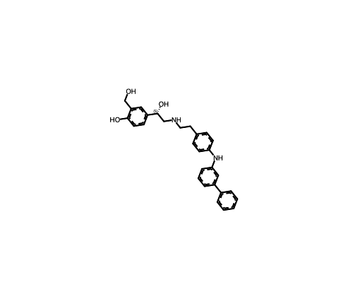 OCc1cc([C@H](O)CNCCc2ccc(Nc3cccc(-c4ccccc4)c3)cc2)ccc1O